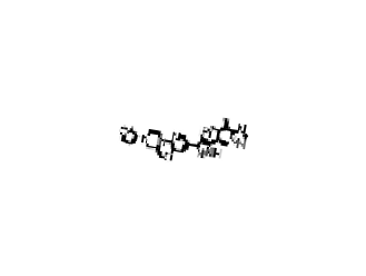 Cc1c(-c2[nH]nc(-c3cnc4c(c3)OCC3CN([C@@H]5CCOC5)CCN43)c2C(C)C)cn2ncnc2c1C